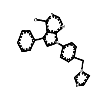 Clc1ncnc2c1c(-c1ccccc1)cn2-c1ccc(Cn2ccnc2)cc1